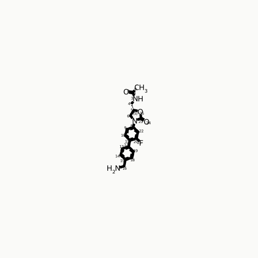 CC(=O)NC[C@H]1CN(c2ccc(-c3ccc(CN)cc3)c(F)c2)C(=O)O1